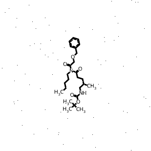 CCCCCN(C(=O)CCC(C)CNC(=O)OC(C)(C)C)C(=O)COCc1ccccc1